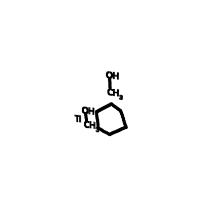 C1CCCCC1.CO.CO.[Ti]